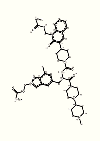 CCCCCCC(=O)OCn1cc2cc(C[C@@H](NC(=O)N3CCC(c4cc5ccccc5n(COC(=O)CCCCCC)c4=O)CC3)C(=O)N3CCN(C4CCN(C)CC4)CC3)cc(C)c2n1